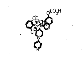 C[N+](C1CCN(c2ccncc2)CC1)(C1CCc2ccc(OC(=O)O)cc21)S(=O)(=O)c1c(Cl)cccc1C(F)(F)F